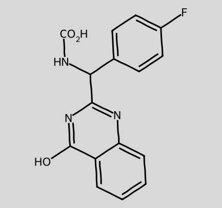 O=C(O)NC(c1ccc(F)cc1)c1nc(O)c2ccccc2n1